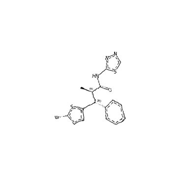 C[C@@H](C(=O)Nc1nncs1)[C@H](c1ccccc1)c1ccc(Br)s1